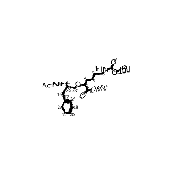 COC(=O)C(CCCCNC(=O)OC(C)(C)C)OCC(Cc1ccccc1)NC(C)=O